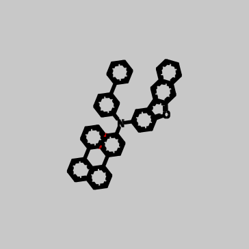 c1ccc(-c2cccc(N(c3ccc(-c4cccc5cccc(-c6ccccc6)c45)cc3)c3ccc4oc5cc6ccccc6cc5c4c3)c2)cc1